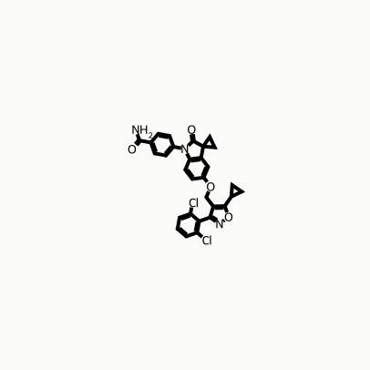 NC(=O)c1ccc(N2C(=O)C3(CC3)c3cc(OCc4c(-c5c(Cl)cccc5Cl)noc4C4CC4)ccc32)cc1